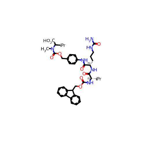 CC(C)C(C(=O)O)N(C)C(=O)OCc1ccc(NC(=O)[C@H](CCCNC(N)=O)NC(=O)[C@@H](NC(=O)OCC2c3ccccc3-c3ccccc32)C(C)C)cc1